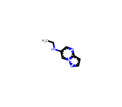 CCNc1cnc2ccnn2c1